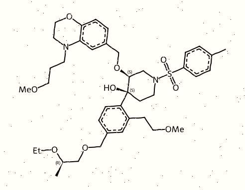 CCO[C@H](C)COCc1ccc([C@@]2(O)CCN(S(=O)(=O)c3ccc(C)cc3)C[C@@H]2OCc2ccc3c(c2)N(CCCOC)CCO3)c(CCOC)c1